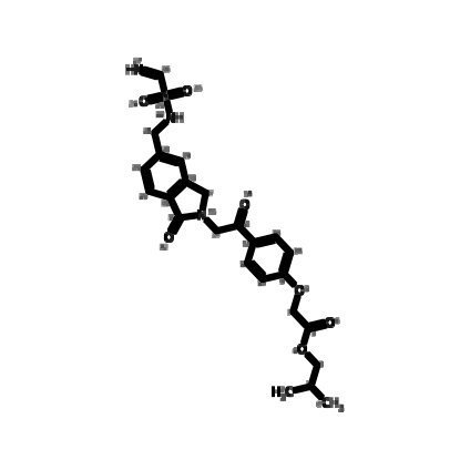 CC(C)COC(=O)COc1ccc(C(=O)CN2Cc3cc(CNS(=O)(=O)C=N)ccc3C2=O)cc1